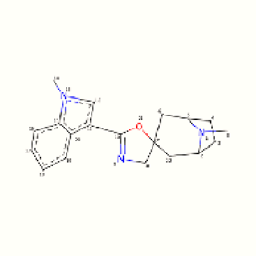 CN1C2CCC1CC1(CN=C(c3cn(C)c4ccccc34)O1)C2